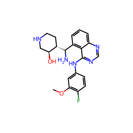 COc1cc(Nc2ncnc3cccc(C(N)[C@H]4CCNC[C@@H]4O)c23)ccc1F